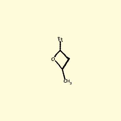 CC[C]1CC(C)O1